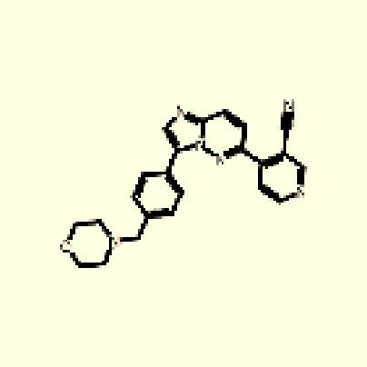 N#Cc1cnccc1-c1ccc2ncc(-c3ccc(CN4CCOCC4)cc3)n2n1